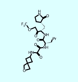 CC(C)C[C@H](NC(=O)C(=O)NC1CC2(COC2)C1)C(=O)N[C@@H](C[C@@H]1CCNC1=O)C(=O)COC(F)(F)F